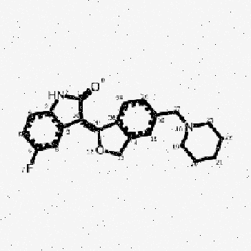 O=C1Nc2ccc(F)cc2C1=C1OCc2cc(CN3CCCCC3)ccc21